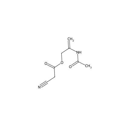 C=C(COC(=O)CC#N)NC(C)=O